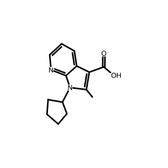 Cc1c(C(=O)O)c2cccnc2n1C1CCCC1